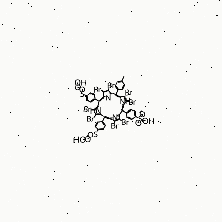 Cc1ccc(-c2c3nc(c(-c4ccc(SOOO)cc4)c4[nH]c(c(Br)c4Br)c(-c4ccc(SOOO)cc4)c4nc(c(-c5ccc(S(=O)(=O)O)cc5)c5[nH]c2c(Br)c5Br)C(Br)=C4Br)C(Br)=C3Br)cc1